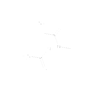 CNC(=S)[S-].NC(=O)S.[Na+]